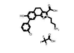 NCCCn1nc2c(c1C(=O)O)CCc1cc(O)c(-c3cccc(Cl)c3)cc1-2.O=C(O)C(F)(F)F